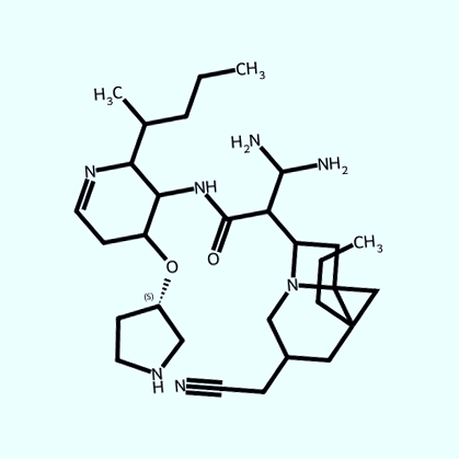 CCCC(C)C1N=CCC(O[C@H]2CCNC2)C1NC(=O)C(C(N)N)C1CC23CC2(CCC)CC(CC#N)CN13